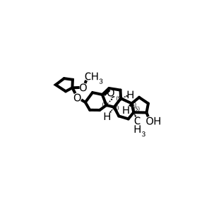 COC1(OC2CC[C@@]3(C=O)C(=CC[C@@H]4[C@H]3CC[C@]3(C)C(O)CC[C@@H]43)C2)CCCC1